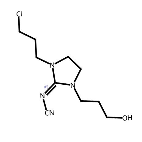 N#C/N=C1\N(CCCO)CCN1CCCCl